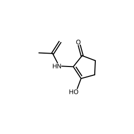 C=C(C)NC1=C(O)CCC1=O